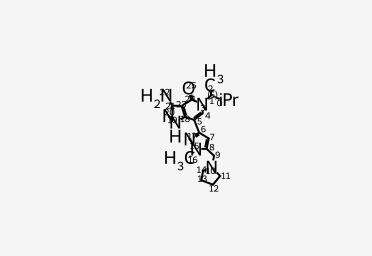 CC(C)[C@H](C)n1cc(-c2cc(CN3CCCC3)n(C)n2)c2[nH]nc(N)c2c1=O